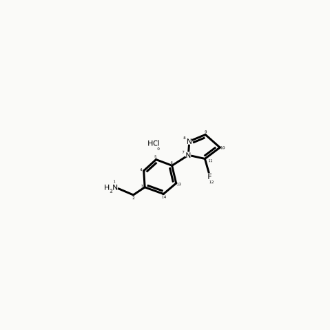 Cl.NCc1ccc(-n2nccc2F)cc1